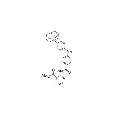 COC(=O)c1ccccc1NC(=O)c1ccc(Nc2ccc(C34CC5CC(CC(C5)C3)C4)cc2)cc1